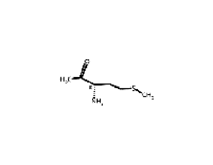 [CH2]C(=O)[C@@H](N)CCSC